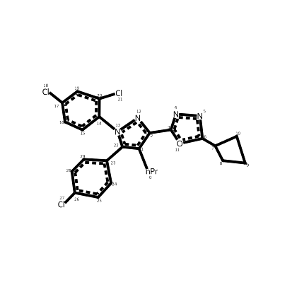 CCCc1c(-c2nnc(C3CCC3)o2)nn(-c2ccc(Cl)cc2Cl)c1-c1ccc(Cl)cc1